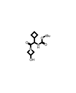 CC(C)(C)OC(=O)NC(C(=O)N1CC(O)C1)C1CCC1